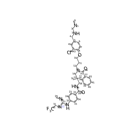 C=NCNCc1ccc(OCCCN(CC(C)(C)CNC(=O)c2ccc(N/C(N=C)=N/CC(F)(F)F)cc2)C(=O)c2ccccc2)c(Cl)c1